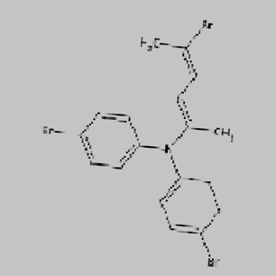 C/C(Br)=C\C=C(/C)N(C1=CC=C(Br)CC1)c1ccc(Br)cc1